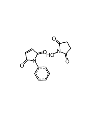 O=C1C=CC(=O)N1c1ccccc1.O=C1CCC(=O)N1O